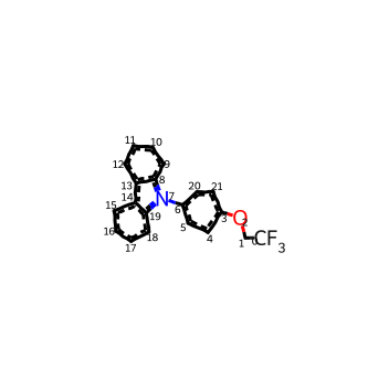 FC(F)(F)COc1ccc(-n2c3ccccc3c3ccccc32)cc1